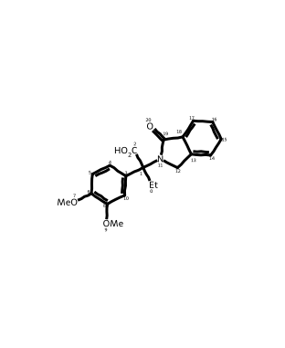 CCC(C(=O)O)(c1ccc(OC)c(OC)c1)N1Cc2ccccc2C1=O